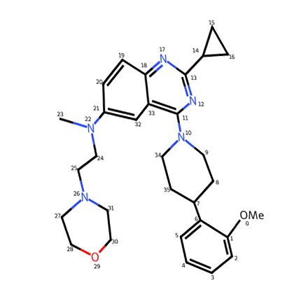 COc1ccccc1C1CCN(c2nc(C3CC3)nc3ccc(N(C)CCN4CCOCC4)cc23)CC1